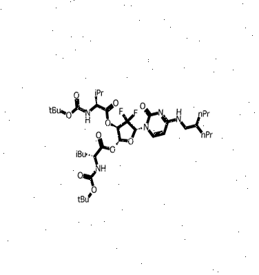 CCCC(CCC)CNc1ccn([C@@H]2O[C@H](OC(=O)[C@H](NC(=O)OC(C)(C)C)C(C)CC)[C@@H](OC(=O)[C@@H](NC(=O)OC(C)(C)C)C(C)C)C2(F)F)c(=O)n1